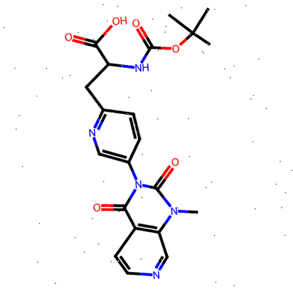 Cn1c(=O)n(-c2ccc(CC(NC(=O)OC(C)(C)C)C(=O)O)nc2)c(=O)c2ccncc21